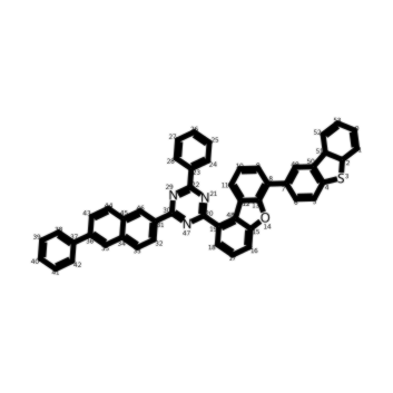 C1=CC2Sc3ccc(-c4cccc5c4oc4cccc(-c6nc(-c7ccccc7)nc(-c7ccc8cc(-c9ccccc9)ccc8c7)n6)c45)cc3C2C=C1